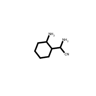 N#CC(N)C1CCCCC1N